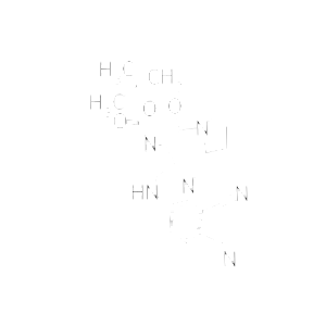 CC(C)(C)OC(=O)N1C[C@@H](Nc2ccc(C#N)c(C#N)c2)C[C@H]1C(=O)N1CCCC1C#N